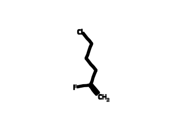 C=C(F)CCCCl